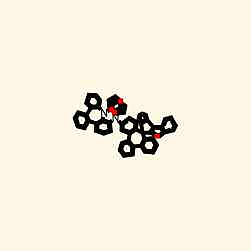 c1ccc(N(c2ccc3c(c2)-c2ccccc2-c2ccccc2C32c3ccccc3-c3c2ccc2ccccc32)c2cccc3c2N(c2ccccc2)c2ccccc2-c2ccccc2-3)cc1